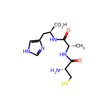 C[C@H](NC(=O)[C@@H](N)CS)C(=O)N[C@@H](Cc1c[nH]cn1)C(=O)O